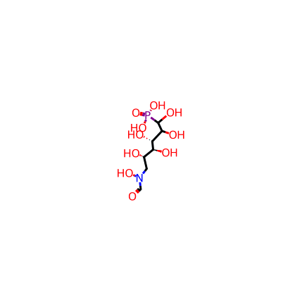 O=CN(O)C[C@H](O)[C@H](O)[C@H](O)C(O)C(O)P(=O)(O)O